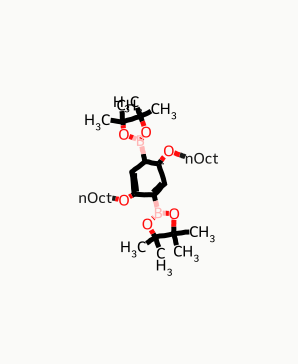 CCCCCCCCO[C]1C=C(B2OC(C)(C)C(C)(C)O2)C(OCCCCCCCC)=CC1B1OC(C)(C)C(C)(C)O1